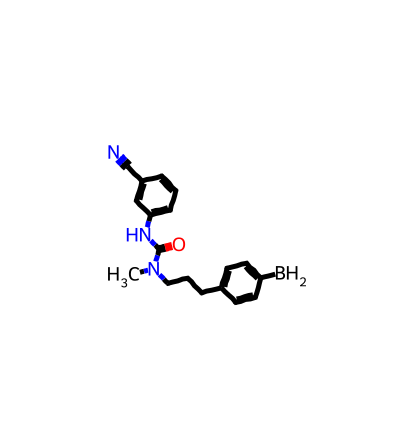 Bc1ccc(CCCN(C)C(=O)Nc2cccc(C#N)c2)cc1